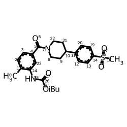 Cc1ccc(C(=O)N2CCC(c3ccc(S(C)(=O)=O)cc3)CC2)cc1NC(=O)OCC(C)C